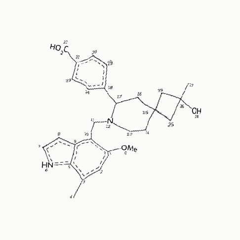 COc1cc(C)c2[nH]ccc2c1CN1CCC2(CC1c1ccc(C(=O)O)cc1)CC(C)(O)C2